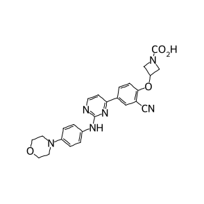 N#Cc1cc(-c2ccnc(Nc3ccc(N4CCOCC4)cc3)n2)ccc1OC1CN(C(=O)O)C1